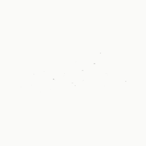 CCOc1ccc(C(=O)CC2CCC(C)CC2)c(O)c1C(F)(F)F